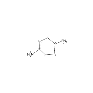 NC1=CCC(P)CC1